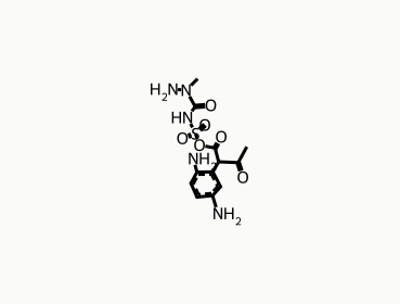 CC(=O)C(C(=O)OS(=O)(=O)NC(=O)N(C)N)c1cc(N)ccc1N